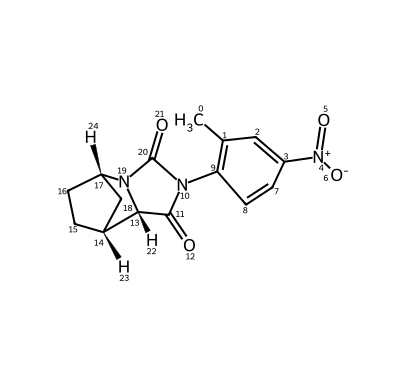 Cc1cc([N+](=O)[O-])ccc1N1C(=O)[C@@H]2[C@@H]3CC[C@@H](C3)N2C1=O